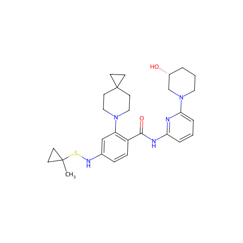 CC1(SNc2ccc(C(=O)Nc3cccc(N4CCC[C@@H](O)C4)n3)c(N3CCC4(CC3)CC4)c2)CC1